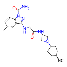 [C-]#[N+][C@H]1CC[C@@H](N2CC(NC(=O)CNc3nn(C(N)=O)c4ccc(C)cc34)C2)CC1